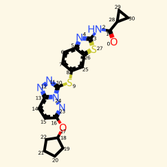 O=C(Nc1nc2ccc(Sc3nnc4ccc(OC5CCCC5)nn34)cc2s1)C1CC1